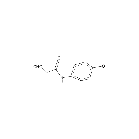 [O]c1ccc(NC(=O)CC=O)cc1